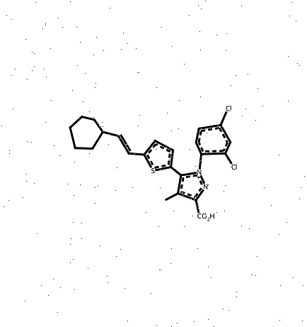 Cc1c(C(=O)O)nn(-c2ccc(Cl)cc2Cl)c1-c1ccc(/C=C/C2CCCCC2)s1